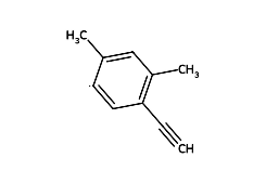 C#Cc1c[c]c(C)cc1C